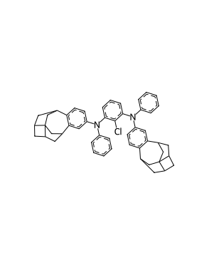 Clc1c(N(c2ccccc2)c2ccc3c(c2)C2CC4CC5CC3CC54C2)cccc1N(c1ccccc1)c1ccc2c(c1)C1CC3CC4CC2CC43C1